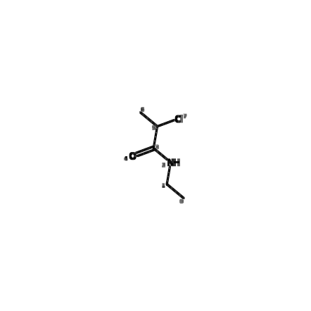 CCNC(=O)C(C)Cl